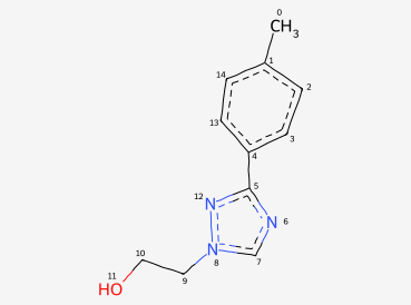 Cc1ccc(-c2ncn(CCO)n2)cc1